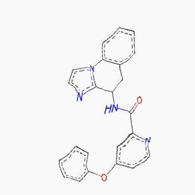 O=C(NC1Cc2ccccc2-n2ccnc21)c1cc(Oc2ccccc2)ccn1